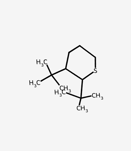 CC(C)(C)C1CCCSC1C(C)(C)C